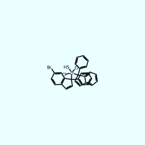 [SH][Zr]([Cl])([Cl])([C]1(c2ccccc2)C=Cc2ccccc21)[C]1(c2ccccc2)C=Cc2ccc(Br)cc21